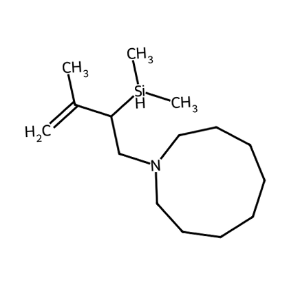 C=C(C)C(CN1CCCCCCCC1)[SiH](C)C